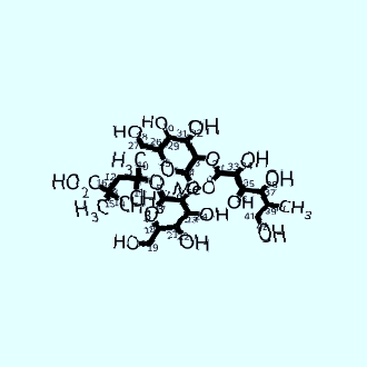 COC(OC1C(OC2C(OC(C)(C)CC(C)(C)C(=O)O)OC(CO)C(O)C2O)OC(CO)C(O)C1O)C(O)C(O)C(O)C(C)CO